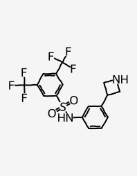 O=S(=O)(Nc1cccc(C2CNC2)c1)c1cc(C(F)(F)F)cc(C(F)(F)F)c1